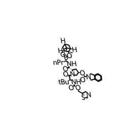 CCC[C@H](NC(=O)[C@@H]1C[C@@H](OC(=O)N2Cc3ccccc3C2)CN1C(=O)[C@@H](NC(=O)OCC1CN=CS1)C(C)(C)C)B1O[C@@H]2C[C@@H]3C[C@@H](C3(C)C)[C@]2(C)O1